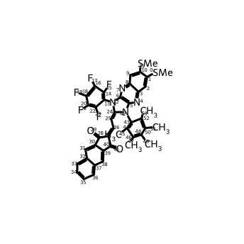 CSc1cc2nc3c(nc2cc1SC)N(c1c(F)c(F)c(F)c(F)c1F)/C(=C/C=C1C(=O)c2cc4ccccc4cc2C1=O)N3c1c(C)c(C)c(C)c(C)c1C